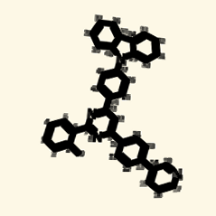 Cc1ccccc1-c1nc(-c2ccc(-c3cccnc3)cc2)cc(-c2ccc(-n3c4ccccc4c4ccccc43)cc2)n1